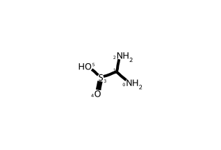 NC(N)S(=O)O